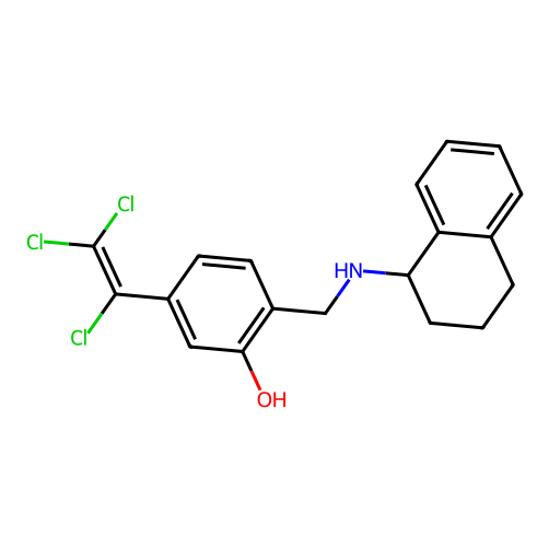 Oc1cc(C(Cl)=C(Cl)Cl)ccc1CNC1CCCc2ccccc21